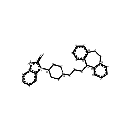 O=c1[nH]c2ccccc2n1C1CCN(CCCC2c3ccccc3CCc3ccccc32)CC1